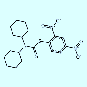 O=[N+]([O-])c1ccc(SC(=S)N(C2CCCCC2)C2CCCCC2)c([N+](=O)[O-])c1